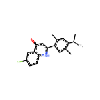 Cc1cc([C@@H](C)C(F)(F)F)c(C)cc1-c1cc(=O)c2cc(F)ccc2[nH]1